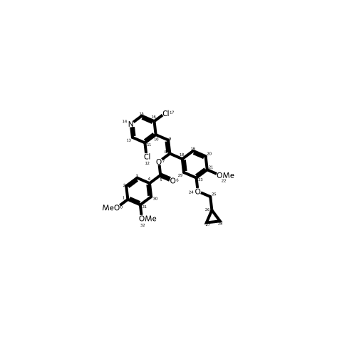 COc1ccc(C(=O)OC(=Cc2c(Cl)cncc2Cl)c2ccc(OC)c(OCC3CC3)c2)cc1OC